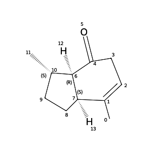 CC1=CCC(=O)[C@H]2[C@@H]1CC[C@@H]2C